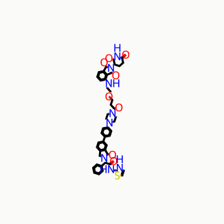 O=C1CCC(N2C(=O)c3cccc(NCCOCCC(=O)N4CCN(c5ccc(-c6ccc7c(c6)C(=O)N(C(C(=O)NC6NC=CS6)c6ccccc6)C7)cc5)CC4)c3C2=O)C(=O)N1